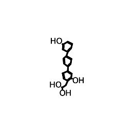 Oc1cccc(-c2ccc(-c3ccc(CC(O)O)c(O)c3)cc2)c1